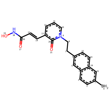 Bc1ccc2cc(CCn3cccc(/C=C/C(=O)NO)c3=O)ccc2c1